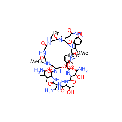 CCCC(C)/C=C\C(O)CC(=O)N[C@@H](C(=O)N[C@@H](C(=O)N[C@H](C(=O)NC(C(=O)N[C@H]1C(=O)N[C@H](COC)C(=O)NCC(=O)N[C@@H](CC(C)C)C(=O)N(C)[C@@H](CCC(N)=O)C(=O)N[C@H]([C@H](OC)c2ccc(O)cc2)C(=O)N(C)[C@@H](C)C(=O)O[C@@H]1C)C(C)C(C)C(N)=O)[C@H](C)N)[C@@H](C)O)[C@H](O)C(N)=O